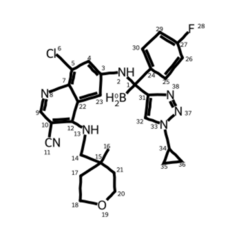 BC(Nc1cc(Cl)c2ncc(C#N)c(NCC3(C)CCOCC3)c2c1)(c1ccc(F)cc1)c1cn(C2CC2)nn1